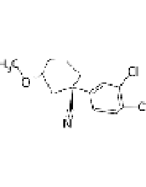 CO[C@@H]1CCC[C@](C#N)(c2ccc(Cl)c(Cl)c2)C1